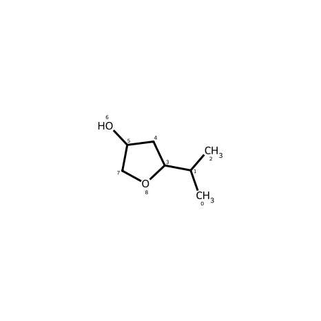 CC(C)C1CC(O)CO1